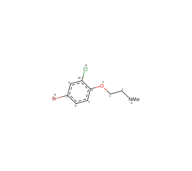 CNCCOc1c[c]c(Br)cc1Cl